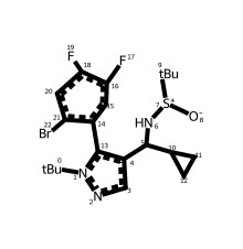 CC(C)(C)n1ncc(C(N[S+]([O-])C(C)(C)C)C2CC2)c1-c1cc(F)c(F)cc1Br